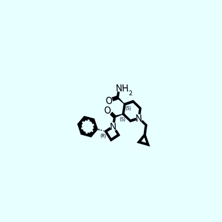 NC(=O)[C@H]1CCN(CC2CC2)C[C@H]1C(=O)N1CC[C@@H]1c1ccccc1